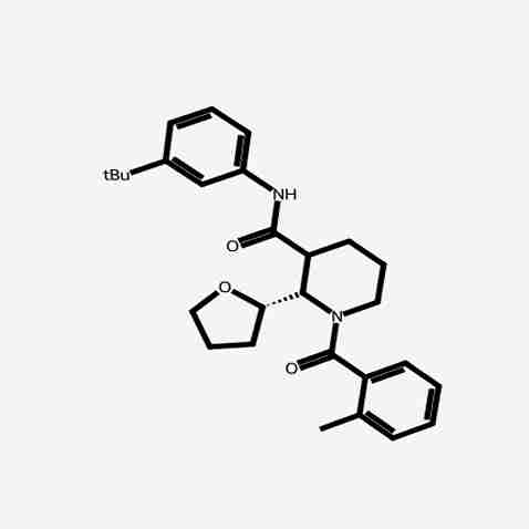 Cc1ccccc1C(=O)N1CCCC(C(=O)Nc2cccc(C(C)(C)C)c2)C1[C@@H]1CCCO1